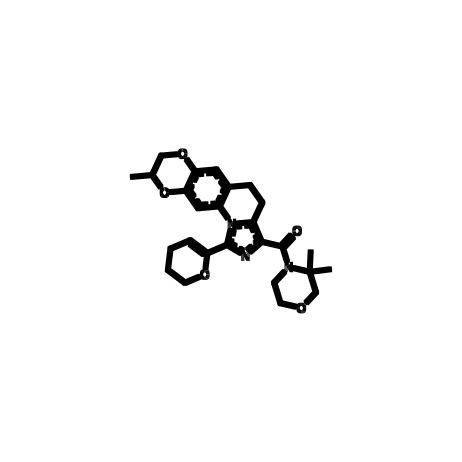 CC1COc2cc3c(cc2O1)-n1c(C2=CCCCO2)nc(C(=O)N2CCOCC2(C)C)c1CC3